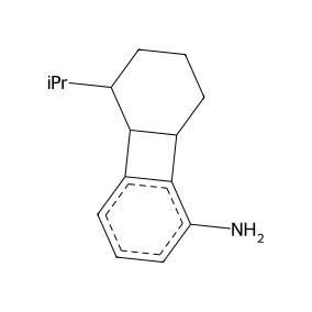 CC(C)C1CCCC2c3c(N)cccc3C21